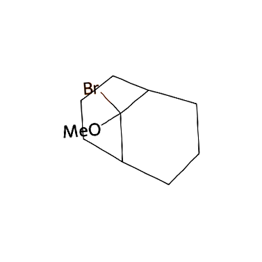 COC1(Br)C2CCCC1CCC2